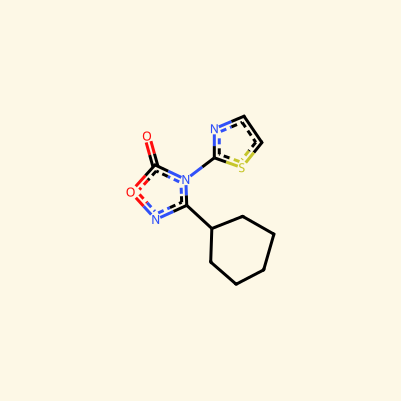 O=c1onc(C2CCCCC2)n1-c1nccs1